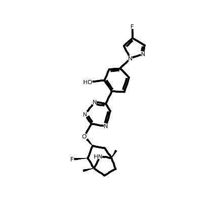 C[C@@]12CC[C@@](C)(N1)[C@@H](F)[C@@H](Oc1ncc(-c3ccc(-n4cc(F)cn4)cc3O)nn1)C2